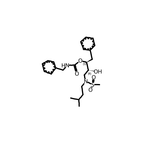 CC(C)CCN(C[C@@H](O)[C@H](Cc1ccccc1)OC(=O)NCc1ccccc1)S(C)(=O)=O